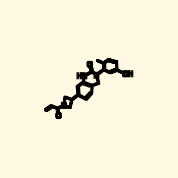 C=CC(=O)N1CC(c2ccc3c(c2)NC(=O)N(c2cc(O)ccc2C)C3)C1